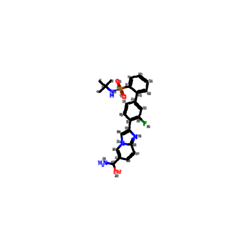 CC(C)(C)NS(=O)(=O)c1ccccc1-c1ccc(-c2cn3cc(C(N)O)ccc3n2)c(F)c1